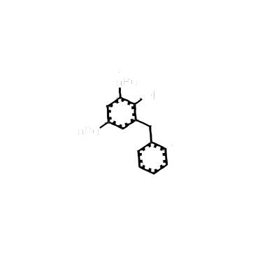 CCCCc1cc(CCCC)c(O)c(Cc2ccccc2)c1